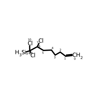 C=CCCCCC(Cl)C([SiH3])(Cl)Cl